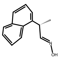 C[C@H](C=NO)c1cccc2ccccc12